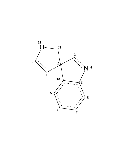 C1=CC2(C=Nc3ccccc32)CO1